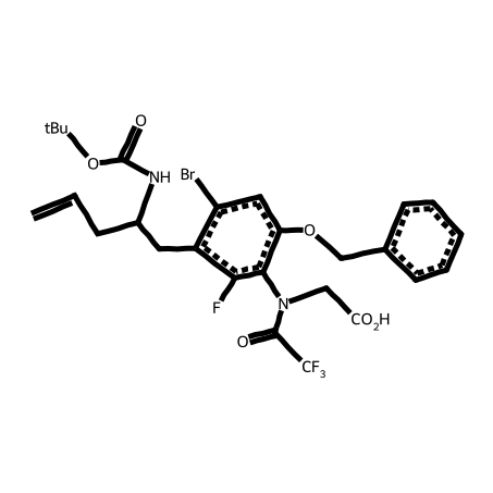 C=CCC(Cc1c(Br)cc(OCc2ccccc2)c(N(CC(=O)O)C(=O)C(F)(F)F)c1F)NC(=O)OC(C)(C)C